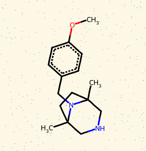 COc1ccc(CN2C3(C)CCC2(C)CNC3)cc1